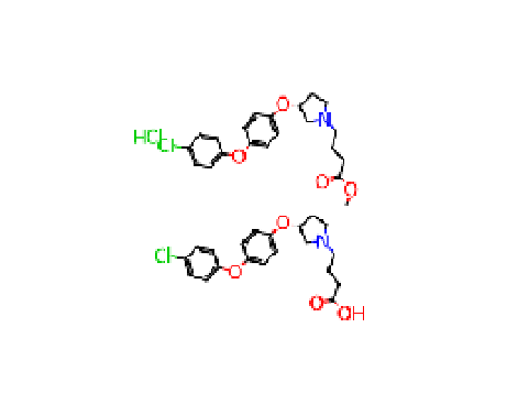 COC(=O)CCCN1CC[C@@H](Oc2ccc(Oc3ccc(Cl)cc3)cc2)C1.Cl.O=C(O)CCCN1CC[C@@H](Oc2ccc(Oc3ccc(Cl)cc3)cc2)C1